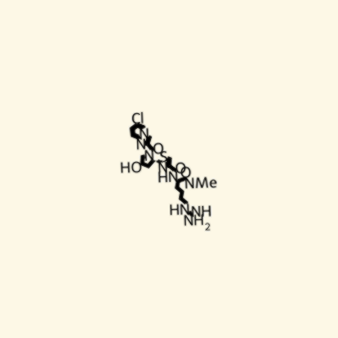 CNC(=O)C(CCCCNC(=N)N)NC(=O)c1csc([C@@H]2C[C@H](O)CN2C(=O)c2cn3cc(Cl)ccc3n2)n1